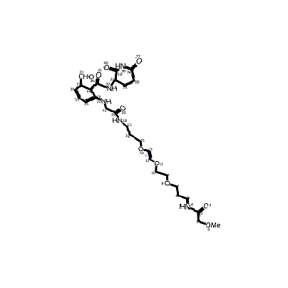 COCC(=O)NCCCOCCO/C=C/OCCCNC(=O)CNC1=CC=CC(C=O)C1C(=O)NC1CCC(=O)NC1=O